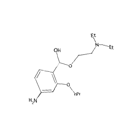 CCCOc1cc(N)ccc1C(O)OCCN(CC)CC